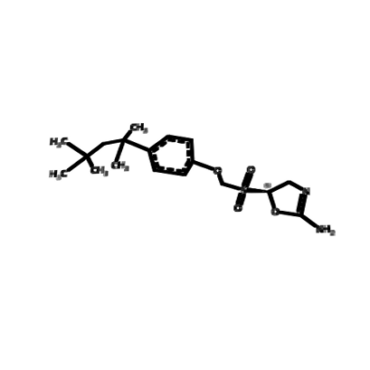 CC(C)(C)CC(C)(C)c1ccc(OCS(=O)(=O)[C@H]2CN=C(N)O2)cc1